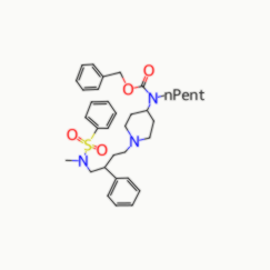 CCCCCN(C(=O)OCc1ccccc1)C1CCN(CCC(CN(C)S(=O)(=O)c2ccccc2)c2ccccc2)CC1